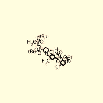 CCS(=O)(=O)c1ccc(Cl)cc1Cn1c(=O)[nH]c2c(Cl)c(CN3CCC[C@H](N(CCN(C)C(=O)OC(C)(C)C)C(=O)OC(C)(C)C)C3)c(C(F)(F)F)cc2c1=O